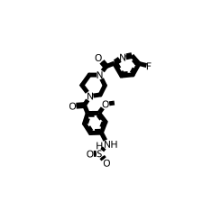 COc1cc(N[SH](=O)=O)ccc1C(=O)N1CCN(C(=O)c2ccc(F)cn2)CC1